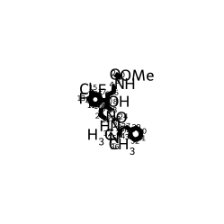 COC(=O)NCCC[C@@](O)(c1ccc(F)c(Cl)c1F)[C@@H]1CCCN(C(=O)N[C@@H](CC2CCCCC2)CN(C)C)C1